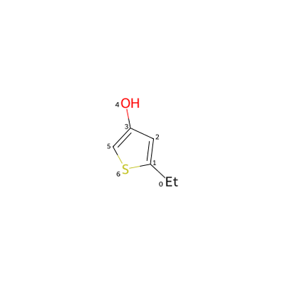 CCc1cc(O)cs1